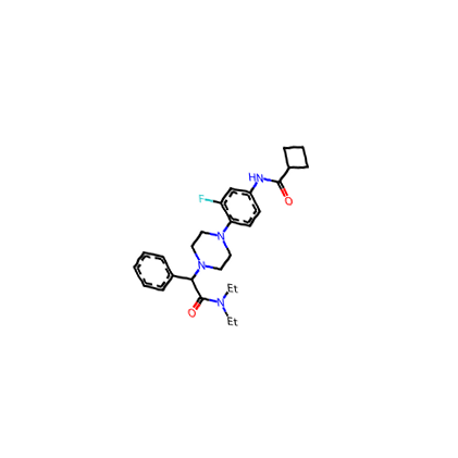 CCN(CC)C(=O)C(c1ccccc1)N1CCN(c2ccc(NC(=O)C3CCC3)cc2F)CC1